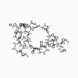 CCO[C@@H]1C2=NC(CS2)c2ccc3c(c2)c(c(-c2cc(N4CCCN(C)CC4)cnc2[C@H](C)OC)n3CC)CC(C)(C)COC(=O)[C@@H]2CCCN(N2)C(=O)[C@H]1NC(=O)[C@H]1[C@H](C)[C@@H]1C(C)C